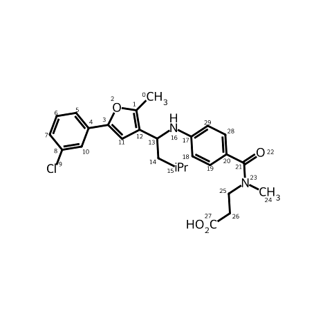 Cc1oc(-c2cccc(Cl)c2)cc1C(CC(C)C)Nc1ccc(C(=O)N(C)CCC(=O)O)cc1